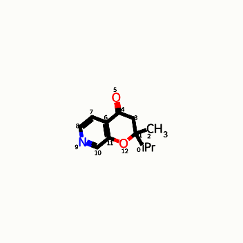 CC(C)C1(C)CC(=O)c2ccncc2O1